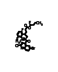 CCCC(F)OC(=O)CCC(CNC(=O)c1c(C)c(Cl)nc2ccc(Br)cc12)c1c(F)ccc(F)c1Cl